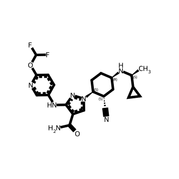 C[C@H](N[C@@H]1CC[C@H](n2cc(C(N)=O)c(Nc3ccc(OC(F)F)nc3)n2)[C@@H](C#N)C1)C1CC1